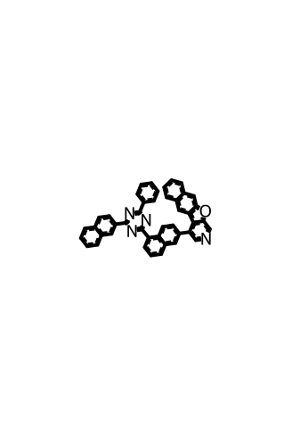 c1ccc(-c2nc(-c3ccc4ccccc4c3)nc(-c3cccc4cc(-c5cncc6oc7cc8ccccc8cc7c56)ccc34)n2)cc1